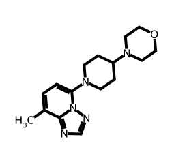 Cc1ccc(N2CCC(N3CCOCC3)CC2)n2ncnc12